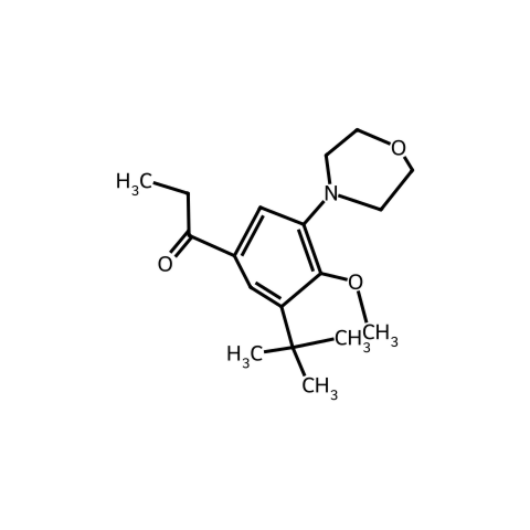 CCC(=O)c1cc(N2CCOCC2)c(OC)c(C(C)(C)C)c1